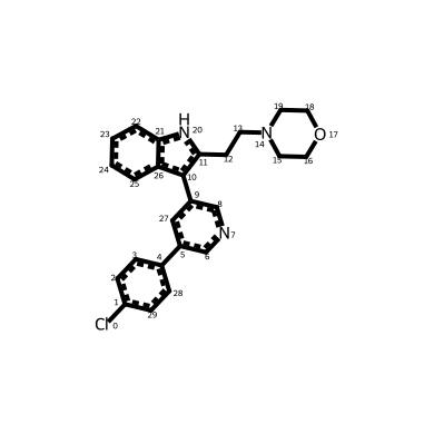 Clc1ccc(-c2cncc(-c3c(CCN4CCOCC4)[nH]c4ccccc34)c2)cc1